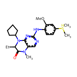 CCC1C(=O)N(C)c2cnc(Nc3ccc([SH](C)C)cc3OC)nc2N1C1CCCC1